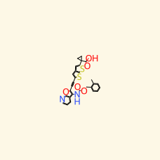 Cc1ccccc1COC(=O)Nc1c(C#Cc2cc3cc(C4(C(=O)O)CC4)sc3s2)oc2ncccc12